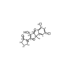 CC1(c2cc(Cl)cc(Cl)c2)OC(N2CCCC2=O)=C(O)C1=O